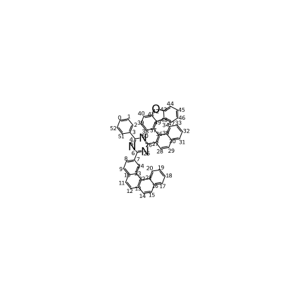 c1ccc(-c2nc(-c3ccc4ccc5ccc6ccccc6c5c4c3)nc(-c3ccc4ccccc4c3-c3cccc4oc5ccccc5c34)n2)cc1